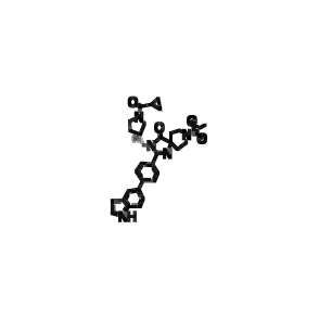 CS(=O)(=O)N1CCC2(CC1)N=C(c1ccc(-c3ccc4[nH]ccc4c3)cc1)N(C[C@@H]1CCN(C(=O)C3CC3)C1)C2=O